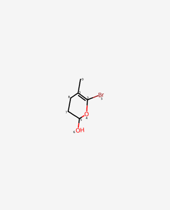 CC1=C(Br)OC(O)CC1